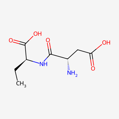 CC[C@H](NC(=O)[C@@H](N)CC(=O)O)C(=O)O